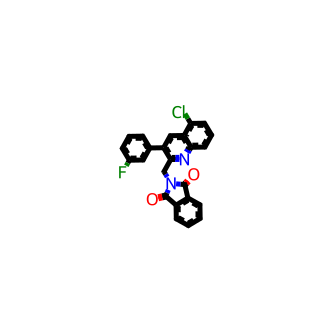 O=C1c2ccccc2C(=O)N1Cc1nc2cccc(Cl)c2cc1-c1cccc(F)c1